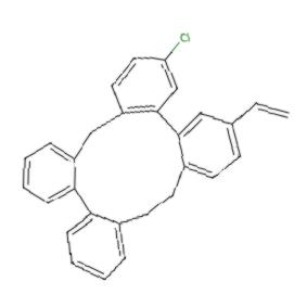 C=Cc1ccc2c(c1)-c1cc(Cl)ccc1Cc1ccccc1-c1ccccc1CC2